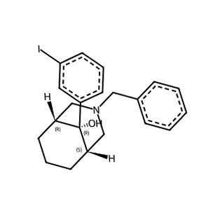 O[C@@]1(c2cccc(I)c2)[C@@H]2CCC[C@H]1CN(Cc1ccccc1)C2